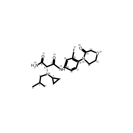 CC(C)CN(C1CC1)[C@H](C(N)=O)C(=O)Nc1ccc(N2CCOCC2=O)c(F)c1